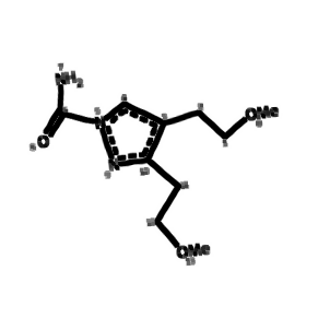 COCCc1cn(C(N)=O)nc1CCOC